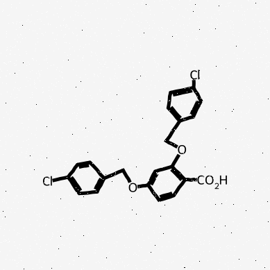 O=C(O)c1ccc(OCc2ccc(Cl)cc2)cc1OCc1ccc(Cl)cc1